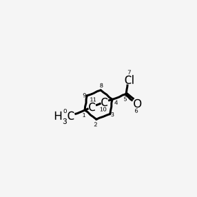 CC12CCC(C(=O)Cl)(CC1)CC2